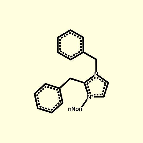 CCCCCCCCC[n+]1ccn(Cc2ccccc2)c1Cc1ccccc1